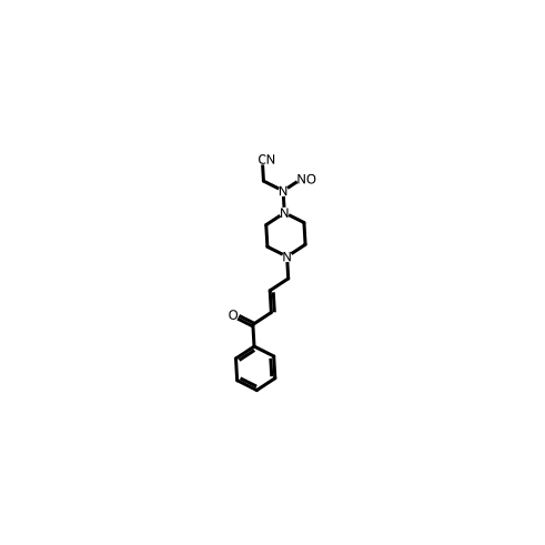 N#CCN(N=O)N1CCN(CC=CC(=O)c2ccccc2)CC1